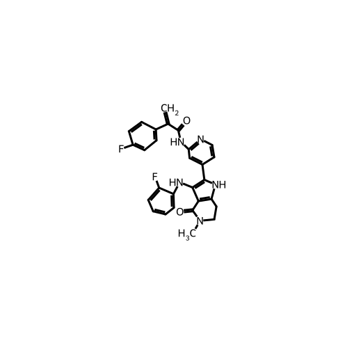 C=C(C(=O)Nc1cc(-c2[nH]c3c(c2Nc2ccccc2F)C(=O)N(C)CC3)ccn1)c1ccc(F)cc1